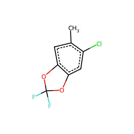 Cc1cc2c(cc1Cl)OC(F)(F)O2